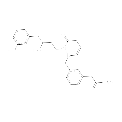 COC(=O)Cc1cccc(CN2C=CCC(=O)N2CCC(O)Cc2cccc(C(F)(F)F)c2)c1